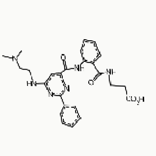 CN(C)CCNc1cc(C(=O)Nc2ccccc2C(=O)NCCC(=O)O)nc(-c2ccccc2)n1